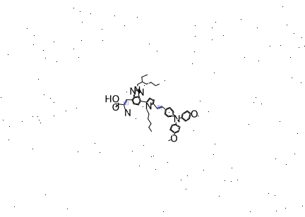 CCCCCCn1c(/C=C/c2ccc(N(c3ccc(OC)cc3)c3ccc(OC)cc3)cc2)ccc1-c1ccc(/C=C(\C#N)C(=O)O)c2nn(CC(CC)CCCC)nc12